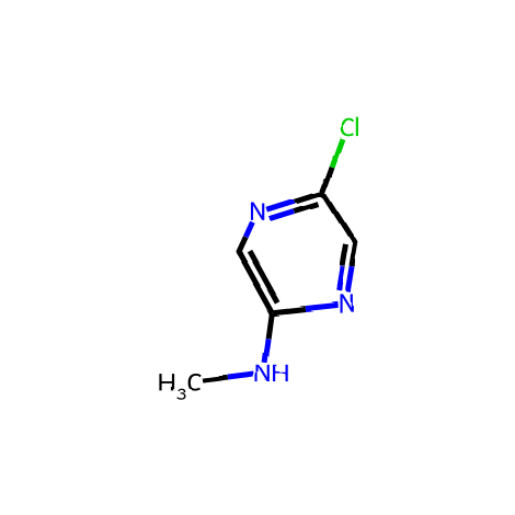 CNc1cnc(Cl)cn1